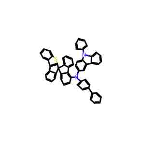 c1ccc(-c2ccc(N(c3ccc4c(c3)c3ccccc3n4-c3ccccc3)c3cccc4c3-c3ccccc3C43c4ccccc4-c4c3sc3ccccc43)cc2)cc1